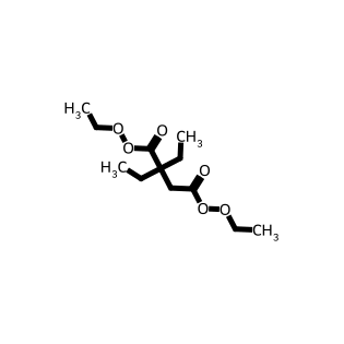 CCOOC(=O)CC(CC)(CC)C(=O)OOCC